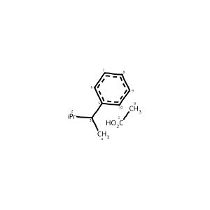 CC(=O)O.CC(C)C(C)c1ccccc1